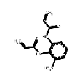 C=CC(=O)Nc1cccc(S(=O)(=O)O)c1NC(=O)C=C